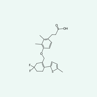 Cc1ccc(C2=C(COc3ccc(CCC(=O)O)c(C)c3C)CC(F)(F)CC2)s1